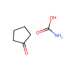 NC(=O)O.O=C1CCCC1